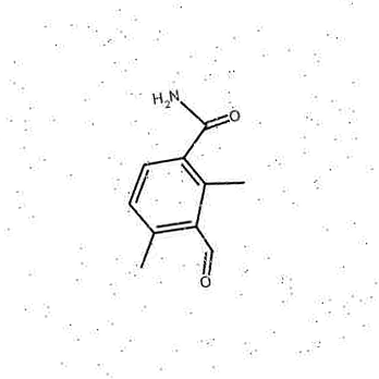 Cc1ccc(C(N)=O)c(C)c1C=O